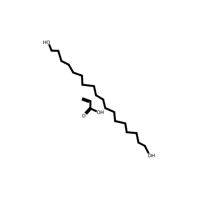 C=CC(=O)O.OCCCCCCCCCCCCCCCCCCO